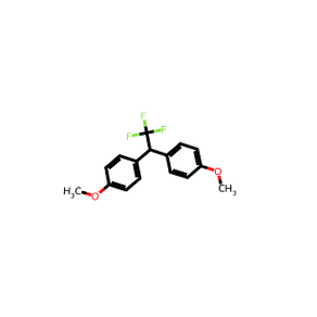 COc1ccc(C(c2ccc(OC)cc2)C(F)(F)F)cc1